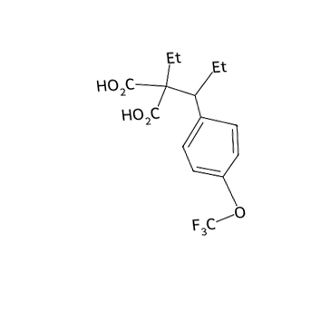 CCC(c1ccc(OC(F)(F)F)cc1)C(CC)(C(=O)O)C(=O)O